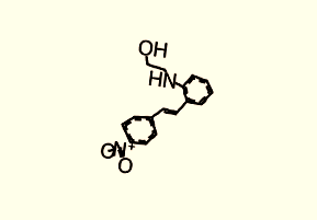 O=[N+]([O-])c1ccc(C=Cc2ccccc2NCCO)cc1